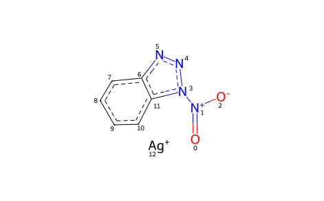 O=[N+]([O-])n1nnc2ccccc21.[Ag+]